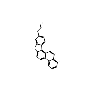 CCCc1ccc2c(c1)sc1ccc3c4ccccc4ccc3c12